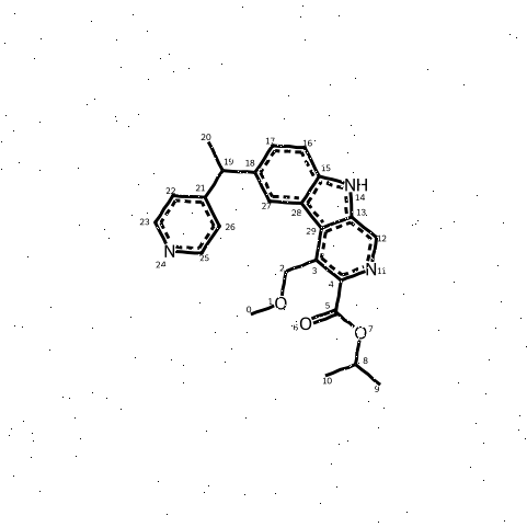 COCc1c(C(=O)OC(C)C)ncc2[nH]c3ccc(C(C)c4ccncc4)cc3c12